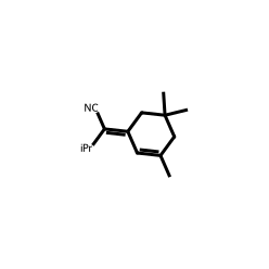 CC1=CC(=C(C#N)C(C)C)CC(C)(C)C1